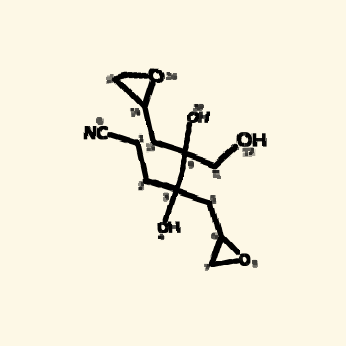 N#CCCC(O)(CC1CO1)C(O)(CO)CC1CO1